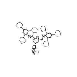 CC(=Nc1c(C2CCCCC2)cc(C2CCCCC2)cc1C1CCCCC1)c1cccc(C(C)=Nc2c(C3CCCCC3)cc(C3CCCCC3)cc2C2CCCCC2)n1.[Cl-].[Cl-].[Cl-].[V+3]